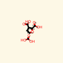 O=C(O)O.O=C(O)c1ccoc1C(=O)O